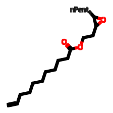 C=CCCCCCCCCC(=O)OCCC1OC1CCCCC